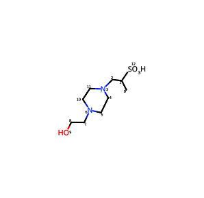 CC(CN1CCN(CCO)CC1)S(=O)(=O)O